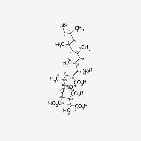 CCC(C)CC(C)CC(C)CC(C)/C=C(C)/C=C(\CC(C)C(=O)OC(C(=O)O)C(C(=O)O)C(O)C(=O)O)C(=O)O.[NaH]